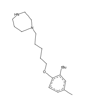 Cc1ccc(OCCCCCN2CCCNCC2)c(C(C)(C)C)c1